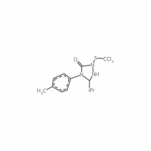 Cc1ccc(N2C(=O)N(SC(Cl)(Cl)Cl)NC2C(C)C)cc1